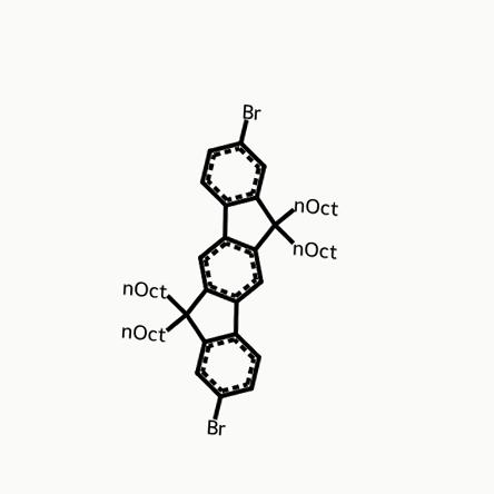 CCCCCCCCC1(CCCCCCCC)c2cc(Br)ccc2-c2cc3c(cc21)-c1ccc(Br)cc1C3(CCCCCCCC)CCCCCCCC